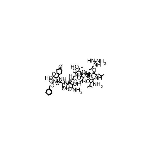 CC[C@H](C)C(NC(=O)[C@@H](CCCNC(=N)N)NC(=O)[C@H](CC(C)C)NC(=O)[C@@H](N)[C@H](O)C(C)C)C(=O)N[C@H](C(=O)NCC(=O)N[C@H](C(=O)N[C@@H](CO)C(=O)N[C@@H](c1ccc(OC)cc1)[C@H](NC(=O)OCc1ccccc1)C(=O)O)[C@H](O)C(N)=O)[C@H](C)O